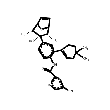 C[C@@H]1C2C=CC(O2)[C@H](C)[C@@]1(O)c1ccc(NC(=O)c2nc(C#N)c[nH]2)c(C2=CCC(C)(C)CC2)c1